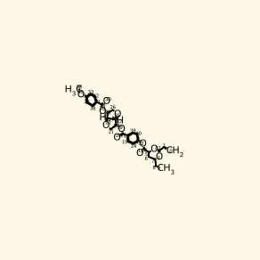 C=CC(=O)OC(CCCC)C(=O)Oc1ccc(C(=O)O[C@@H]2CO[C@H]3[C@@H]2OC[C@H]3OC(=O)c2ccc(OC)cc2)cc1